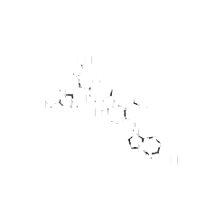 CO/N=C(\C(=O)N[C@@H]1C(=O)N2C(C(=O)[O-])=C(Cn3cc[n+]4nc(C)ccc34)CS[C@H]12)c1nsc(N)n1